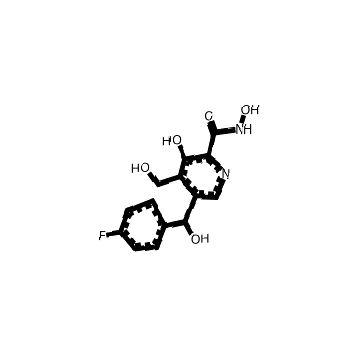 O=C(NO)c1ncc(C(O)c2ccc(F)cc2)c(CO)c1O